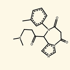 Cc1cccc(N2C(=O)CC(=O)n3cncc3C2C(=O)CCN(C)C)c1